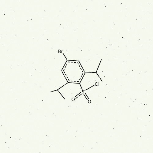 CC(C)c1cc(Br)cc(C(C)C)c1S(=O)(=O)Cl